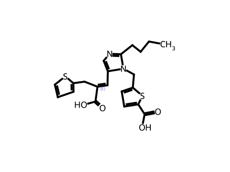 CCCCc1ncc(/C=C(\Cc2cccs2)C(=O)O)n1Cc1ccc(C(=O)O)s1